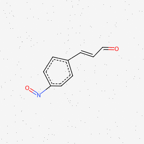 O=C/C=C/c1ccc(N=O)cc1